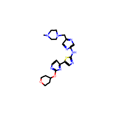 CN1CCN(Cc2cnc(Nc3ncc(-c4ccnc(OC5CCOCC5)n4)s3)cn2)CC1